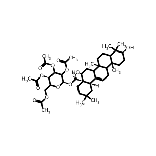 CC(=O)OCC1O[C@H](OC(=O)[C@]23CCC(C)(C)C[C@H]2C2=CCC4[C@@](C)(CCC5C(C)(C)[C@@H](O)CC[C@@]54C)C2C[C@H]3O)C(OC(C)=O)C(OC(C)=O)[C@@H]1OC(C)=O